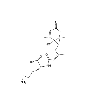 CC1=CC(=O)CC(C)(C)[C@@]1(O)CC/C(C)=C\C(=O)N[C@@H](CCCCN)C(=O)O